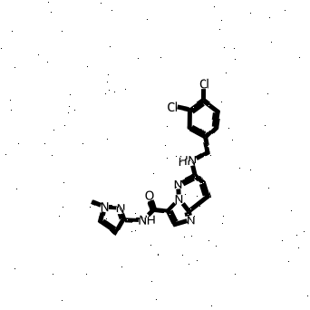 Cn1ccc(NC(=O)c2cnc3ccc(NCc4ccc(Cl)c(Cl)c4)nn23)n1